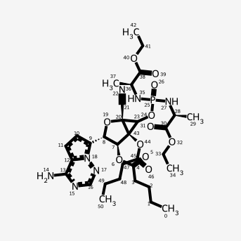 CCCCC(=O)O[C@H]1[C@H](c2ccc3c(N)ncnn23)O[C@]2(C#N)C(OP(=O)(N[C@@H](C)C(=O)OCC)N[C@@H](C)C(=O)OCC)[C@]12OC(=O)CCCC